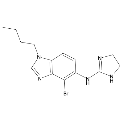 CCCCn1cnc2c(Br)c(NC3=NCCN3)ccc21